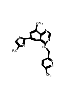 COc1cc(-c2nc(C(F)(F)F)cs2)cc2c(NCc3ccc(C)nn3)ncnc12